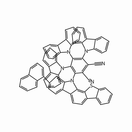 N#Cc1c(C#N)c(-n2c3cc(-c4cccc5ccccc45)ccc3c3ccc4c5ccccc5sc4c32)c(-n2c3ccccc3c3ccccc32)c(-n2c3ccccc3c3ccccc32)c1-n1c2ccccc2c2ccccc21